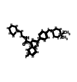 C[Si]1(C)CCN(Cc2ccc(-c3cc(C(=O)NCCN4CCCCC4)c4cc(F)ccc4n3)cc2)CC1